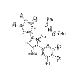 CCCCC1=C(c2cc(CC)c(CC)c(CC)c2)[N+](=[N-])C(c2cc(CC)c(CC)c(CC)c2)=C1.CCCC[O][Ni][O]CCCC